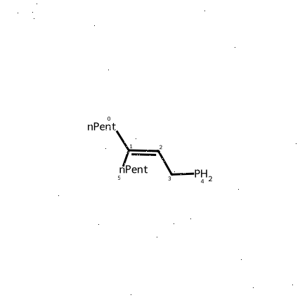 CCCCCC(=CCP)CCCCC